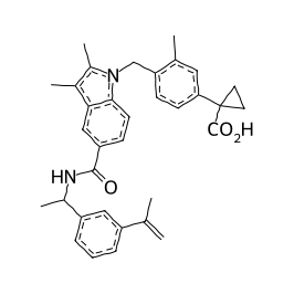 C=C(C)c1cccc(C(C)NC(=O)c2ccc3c(c2)c(C)c(C)n3Cc2ccc(C3(C(=O)O)CC3)cc2C)c1